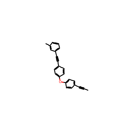 CC#Cc1ccc(Oc2ccc(C#Cc3cccc(C)c3)cc2)cc1